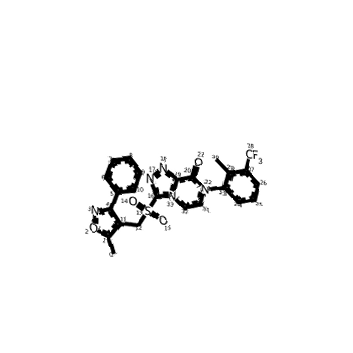 Cc1onc(-c2ccccc2)c1CS(=O)(=O)c1nnc2c(=O)n(-c3cccc(C(F)(F)F)c3C)ccn12